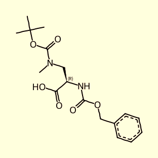 CN(C[C@@H](NC(=O)OCc1ccccc1)C(=O)O)C(=O)OC(C)(C)C